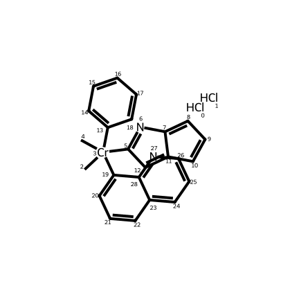 Cl.Cl.[CH3][Cr]([CH3])([C]1=NC2=CC=CC2=C1)([c]1ccccc1)[c]1cccc2cccnc12